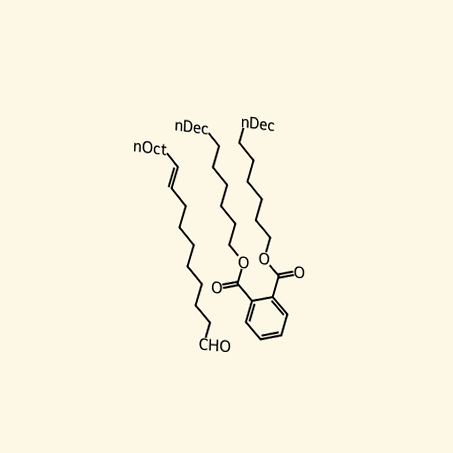 CCCCCCCCC=CCCCCCCCC=O.CCCCCCCCCCCCCCCCOC(=O)c1ccccc1C(=O)OCCCCCCCCCCCCCCCC